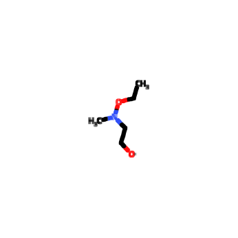 CCON(C)CC[O]